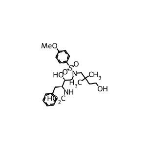 COc1ccc(S(=O)(=O)N(C[C@H](O)[C@H](Cc2ccccc2)NC(=O)O)CC(C)(C)CCO)cc1